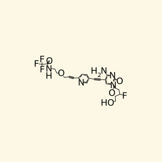 Nc1nc(=O)n(C2CC(F)C(CO)O2)cc1C#Cc1ccc(C#CCOCCNC(=O)C(F)(F)F)nc1